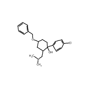 CN(C)CC1CC(OCc2ccccc2)CCC1(O)c1ccc(Cl)cc1